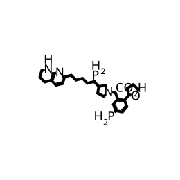 O=C(O)C(c1cc(P)ccc1C1CCCO1)N1CCC(C(P)CCCCc2ccc3c(n2)NCCC3)C1